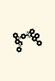 c1ccc(-c2ccc(-c3nc(-c4ccc(-n5c6ccccc6c6ccc7c(ccn7-c7ccccc7)c65)cc4)nc4ccccc34)c3ccccc23)cc1